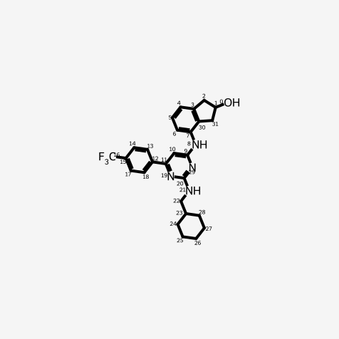 OC1Cc2cccc(Nc3cc(-c4ccc(C(F)(F)F)cc4)nc(NCC4CCCCC4)n3)c2C1